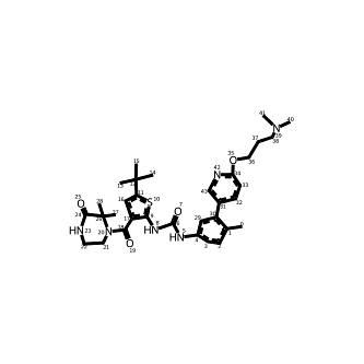 Cc1ccc(NC(=O)Nc2sc(C(C)(C)C)cc2C(=O)N2CCNC(=O)C2(C)C)cc1-c1ccc(OCCCN(C)C)nc1